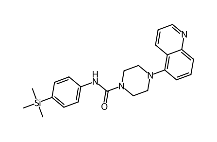 C[Si](C)(C)c1ccc(NC(=O)N2CCN(c3cccc4ncccc34)CC2)cc1